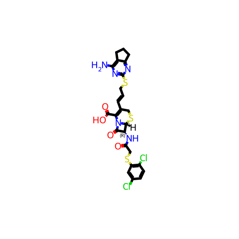 Nc1nc(SCC=CC2=C(C(=O)O)N3C(=O)[C@@H](NC(=O)CSc4cc(Cl)ccc4Cl)[C@H]3SC2)nc2c1CCC2